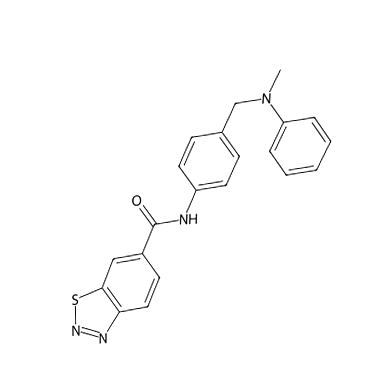 CN(Cc1ccc(NC(=O)c2ccc3nnsc3c2)cc1)c1ccccc1